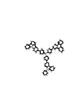 c1ccc(-n2c3ccccc3c3cc(-c4ccc(N(c5ccc(-c6ccc7c8ccccc8c8ccccc8c7c6)cc5)c5ccc(-c6ccc7c(c6)c6cccc8c9ccccc9n7c86)cc5)cc4)ccc32)cc1